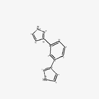 c1cc(-c2cc[nH]n2)cc(-c2cc[nH]n2)c1